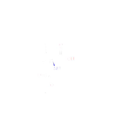 C=CC1C[C@@]1(NC(=O)OC(C)(C)C)C(=O)O